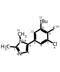 Cc1ncc(-c2cc(Cl)c(F)c(C(C)(C)C)c2)n1C